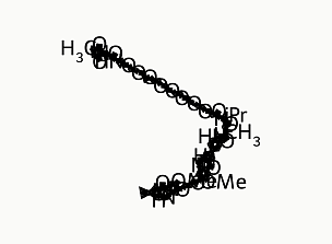 COc1cc2c(cc1OCCCOc1cc3c(cc1OC)C(=O)N1C=C(C4CC4)C[C@H]1C=N3)N=C[C@@H]1CC(c3ccc(NC(=O)[C@H](C)CC(=O)C(NC(=O)CCOCCOCCOCCOCCOCCOCCOCCOCCNC(=O)CCN4C(=O)CC(C)C4=O)C(C)C)cc3)=CN1C2=O